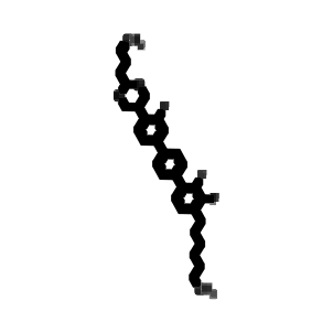 C=CCCC1OCC(c2ccc(-c3ccc(-c4ccc(CCCCCCC)c(F)c4F)cc3)cc2F)CO1